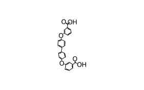 O=C(O)c1cccc(Oc2ccc(-c3ccc(Oc4cccc(C(=O)O)c4)cc3)cc2)c1